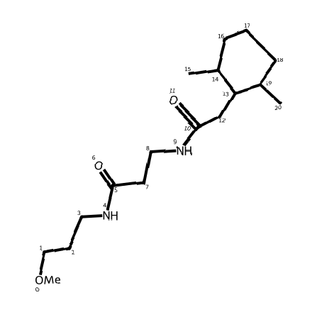 COCCCNC(=O)CCNC(=O)CC1C(C)CCCC1C